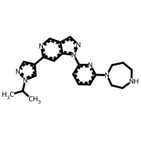 CC(C)n1cc(-c2cc3c(cn2)cnn3-c2cccc(N3CCCNCC3)n2)cn1